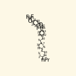 CCC[C@H]1CC[C@H]([C@H]2CC[C@H](CCc3ccc(C(F)(F)Oc4ccc(OC(F)F)cc4)cc3)CC2)CC1